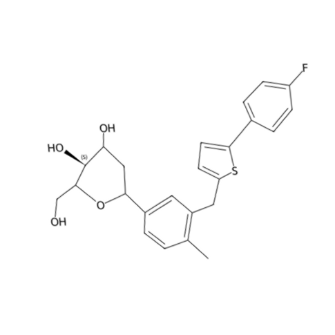 Cc1ccc(C2CC(O)[C@H](O)C(CO)O2)cc1Cc1ccc(-c2ccc(F)cc2)s1